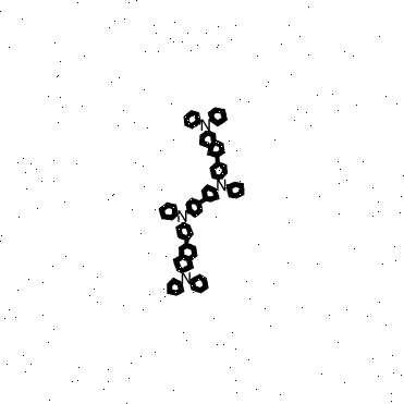 c1ccc(N(c2ccc(-c3ccc(N(c4ccccc4)c4ccc(-c5ccc6cc(N(c7ccccc7)c7ccccc7)ccc6c5)cc4)cc3)cc2)c2ccc(-c3ccc4cc(N(c5ccccc5)c5ccccc5)ccc4c3)cc2)cc1